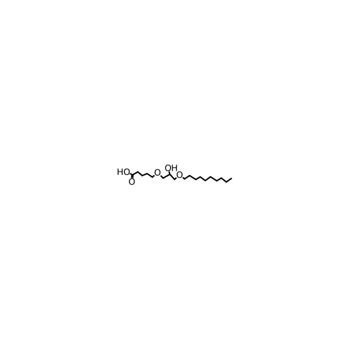 CCCCCCCCCCOCC(O)COCCCCC(=O)O